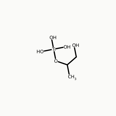 CC(CO)[O][Ti]([OH])([OH])[OH]